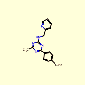 COc1ccc(-c2nc(NCc3ccccn3)nc(C(Cl)(Cl)Cl)n2)cc1